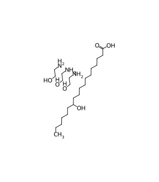 CCCCCCC(O)CCCCCCCCCCC(=O)O.NCCO.NCCO.NCCO